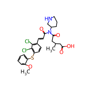 COc1ccccc1Sc1ccc(/C=C/C(=O)N(C(=O)CC(C)CC(=O)O)C2CCCNC2)c(Cl)c1Cl